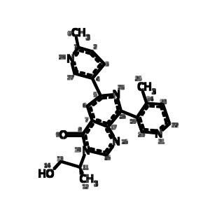 Cc1ccc(-c2cc3c(=O)n([C@@H](C)CO)cnc3c(-c3cnccc3C)n2)cn1